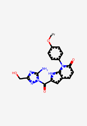 CC(C)Oc1ccc(-n2c(=O)ccc3cc(C(=O)n4nc(CO)nc4N)[nH]c32)cc1